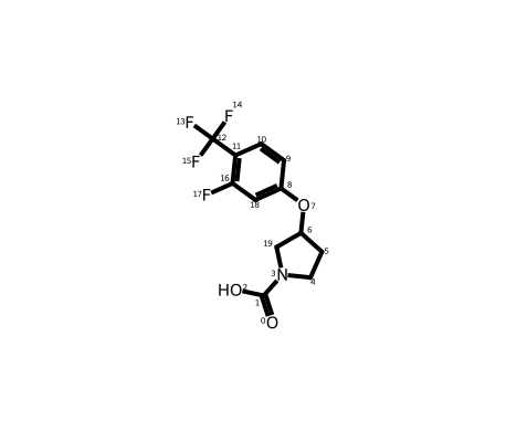 O=C(O)N1CCC(Oc2ccc(C(F)(F)F)c(F)c2)C1